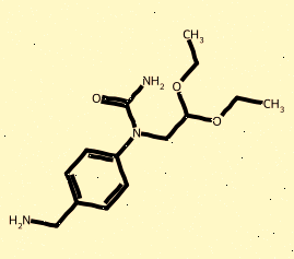 CCOC(CN(C(N)=O)c1ccc(CN)cc1)OCC